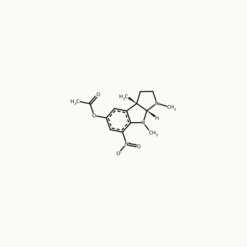 CC(=O)Oc1cc([N+](=O)[O-])c2c(c1)[C@]1(C)CCN(C)[C@@H]1N2C